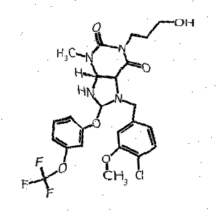 COc1cc(CN2C(Oc3cccc(OC(F)(F)F)c3)N[C@H]3C2C(=O)N(CCCO)C(=O)N3C)ccc1Cl